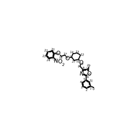 Cc1cccc(-c2nc(COC3CCCC(OCCOc4ccccc4[N+](=O)[O-])C3)c(C)o2)c1